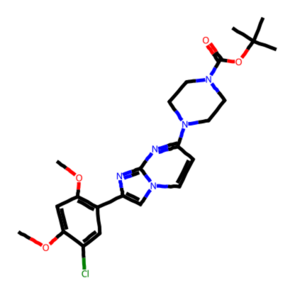 COc1cc(OC)c(-c2cn3ccc(N4CCN(C(=O)OC(C)(C)C)CC4)nc3n2)cc1Cl